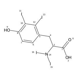 O=C(O)C(Cc1ccc(O)c(I)c1I)N(I)I